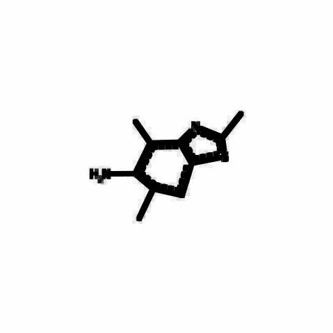 Cc1nc2c(C)c(N)c(C)cc2s1